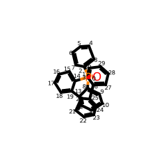 O=P(c1ccccc1)(c1ccccc1)c1ccccc1-c1ccccc1-c1ccccc1